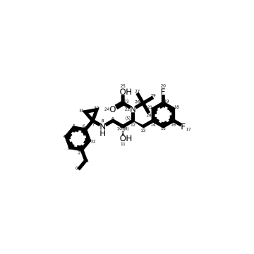 CCc1cccc(C2(NC[C@@H](O)[C@H](Cc3cc(F)cc(F)c3)N(C(=O)O)C(C)(C)C)CC2)c1